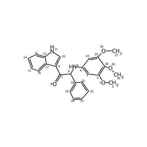 COc1cc(NC(C(=O)c2c[nH]c3ccccc23)c2ccccc2)cc(OC)c1OC